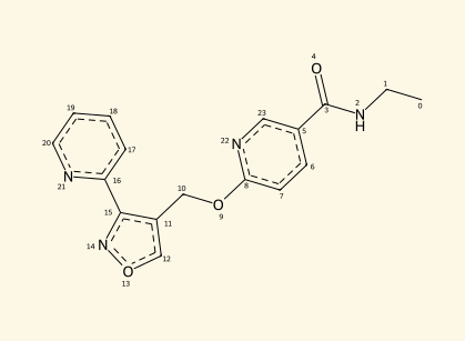 CCNC(=O)c1ccc(OCc2conc2-c2ccccn2)nc1